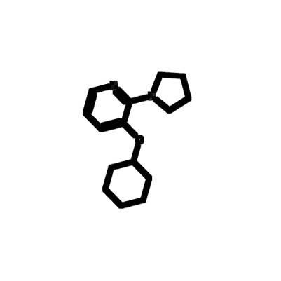 c1cnc(N2CCCC2)c(OC2CCCCC2)c1